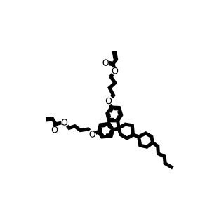 C=CC(=O)OCCCCOc1ccc(C2(c3ccc(OCCCCOC(=O)C=C)cc3)CCC(C3CCC(CCCCC)CC3)CC2)cc1